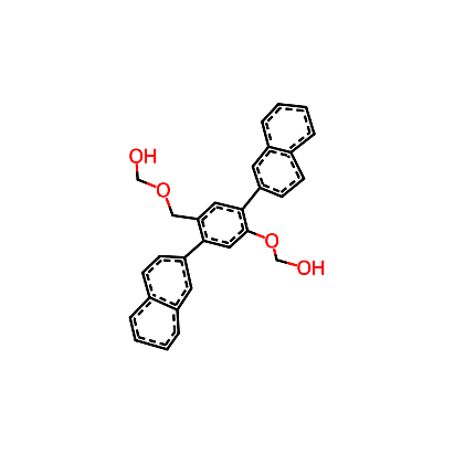 OCOCc1cc(-c2ccc3ccccc3c2)c(OCO)cc1-c1ccc2ccccc2c1